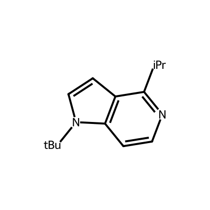 CC(C)c1nccc2c1ccn2C(C)(C)C